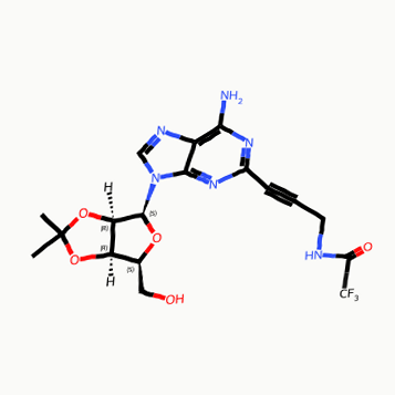 CC1(C)O[C@@H]2[C@H](O1)[C@H](CO)O[C@@H]2n1cnc2c(N)nc(C#CCNC(=O)C(F)(F)F)nc21